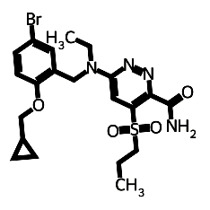 CCCS(=O)(=O)c1cc(N(CC)Cc2cc(Br)ccc2OCC2CC2)nnc1C(N)=O